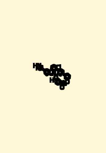 CC(C)(Oc1cccc(N2CCC[C@H](C(=O)N(Cc3ccc(-c4cn[nH]c4)cc3)C3CCCCC3)C2)c1)C(=O)N1CCNCC1.Cl